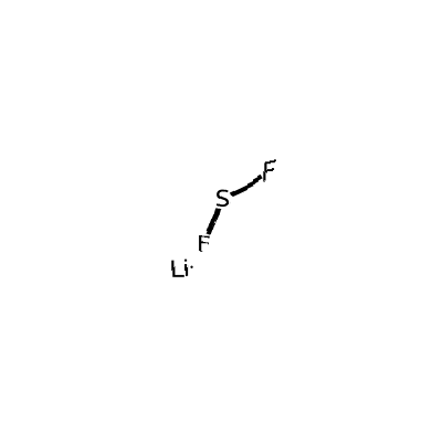 FSF.[Li]